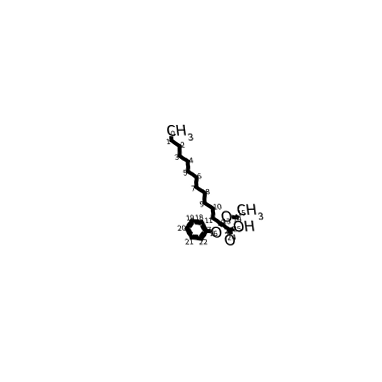 CCCCCCCCCCCCC(OCC)(Oc1ccccc1)C(=O)O